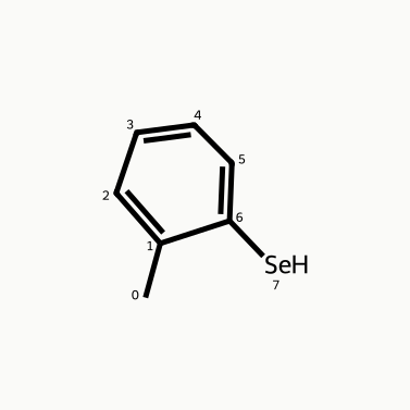 Cc1ccccc1[SeH]